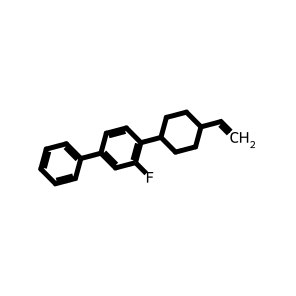 C=CC1CCC(c2ccc(-c3ccccc3)cc2F)CC1